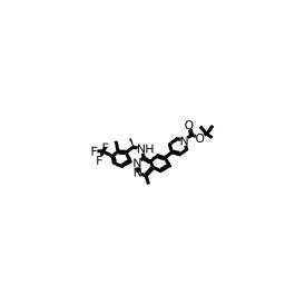 Cc1c([C@@H](C)Nc2nnc(C)c3ccc(C4=CCN(C(=O)OC(C)(C)C)CC4)cc23)cccc1C(F)(F)F